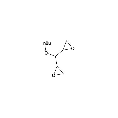 CCCCOC(C1CO1)C1CO1